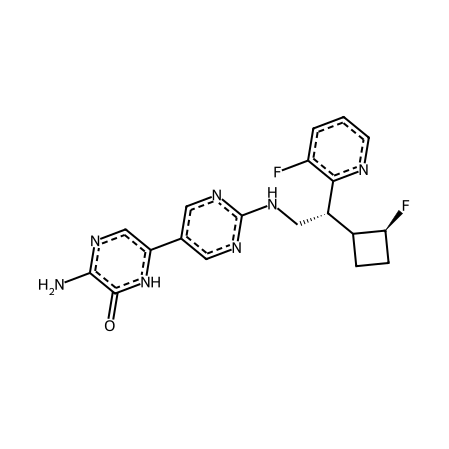 Nc1ncc(-c2cnc(NC[C@H](c3ncccc3F)C3CC[C@@H]3F)nc2)[nH]c1=O